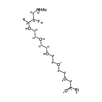 CCC(=O)COCCOCCOCCOCCOC(C)C(F)CNC(C)=O